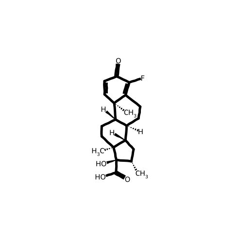 C[C@H]1C[C@H]2[C@@H]3CCC4=C(F)C(=O)C=C[C@]4(C)[C@H]3CC[C@]2(C)[C@@]1(O)C(=O)O